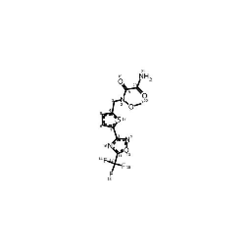 CON(Cc1ccc(-c2noc(C(F)(F)F)n2)s1)C(=O)C(N)=O